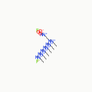 CCCCCC[n+]1ccn(C)c1.CCCCCC[n+]1ccn(C)c1.CCCCCC[n+]1ccn(C)c1.CCCCCC[n+]1ccn(C)c1.CCCCCC[n+]1ccn(C)c1.CCCCCC[n+]1ccn(C)c1.CCCCCC[n+]1ccn(C)c1.[F-].[F-].[F-].[F-].[O-]B([O-])[O-]